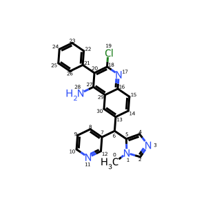 Cn1cncc1C(c1cccnc1)c1ccc2nc(Cl)c(-c3ccccc3)c(N)c2c1